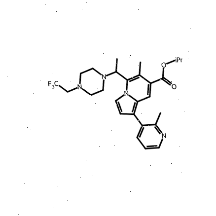 Cc1ncccc1-c1ccn2c(C(C)N3CCN(CC(F)(F)F)CC3)c(C)c(C(=O)OC(C)C)cc12